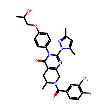 Cc1cc(C)n(-c2nc3c(c(=O)n2-c2ccc(OCC(C)O)cc2)CC(C)N(C(=O)c2ccc(Br)c(C(F)(F)F)c2)C3)n1